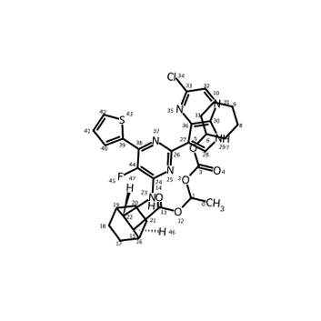 CC(OC(=O)OC1CCCCC1)OC(=O)[C@H]1C2CCC(CC2)[C@@H]1Nc1nc(-c2c[nH]c3ncc(Cl)nc23)nc(-c2cccs2)c1F